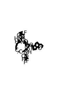 C[C@@H]1CC/C=C\[C@@H]2C[C@@]2(C(=O)NS(=O)(=O)C2(CF)CC2)NC(=O)[C@@H]2C[C@@H](Oc3nccc4c5c(ccc34)CCCO5)CN2C(=O)[C@@H](NC(=O)OC(C)(C)C(F)(F)F)[C@H](C)C1